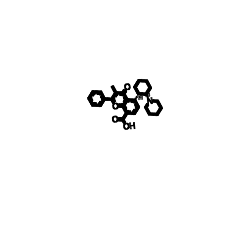 Cc1c(-c2ccccc2)oc2c(C(=O)O)ccc([C@@H]3CCCC[C@@H]3N3CCCCC3)c2c1=O